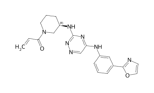 C=CC(=O)N1CCC[C@@H](Nc2nncc(Nc3cccc(-c4ncco4)c3)n2)C1